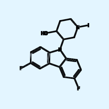 OC1CCN(I)CC1n1c2ccc(F)cc2c2cc(F)ccc21